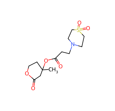 CC1(OC(=O)CCN2CCS(=O)(=O)CC2)CCOC(=O)C1